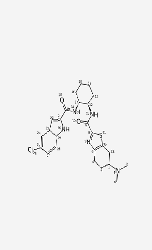 CN(C)C1CCc2nc(C(=O)N[C@@H]3CCCC[C@@H]3NC(=O)C3=CC4C=C(Cl)C=CC4N3)sc2C1